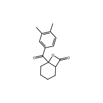 Cc1ccc(C(=O)C23CCCCC2C(=O)O3)cc1C